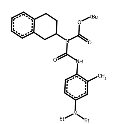 CCN(CC)c1ccc(NC(=O)N(C(=O)OC(C)(C)C)C2CCc3ccccc3C2)c(C)c1